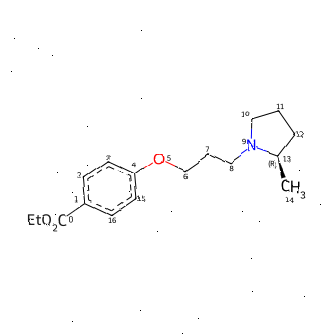 CCOC(=O)c1ccc(OCCCN2CCC[C@H]2C)cc1